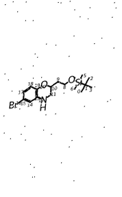 CC(C)(C)[Si](C)(C)OCCC1CNc2cc(Br)ccc2O1